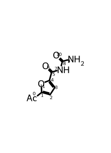 CC(=O)c1ccc(C(=O)NC(N)=O)o1